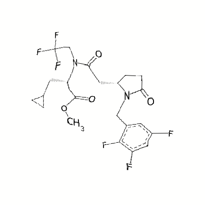 COC(=O)[C@H](CC1CC1)N(CC(F)(F)F)C(=O)C[C@@H]1CCC(=O)N1Cc1cc(F)cc(F)c1F